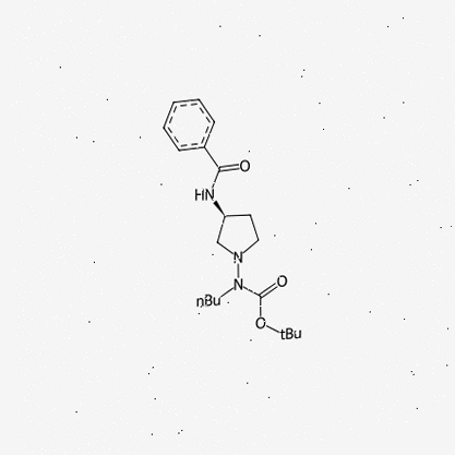 CCCCN(C(=O)OC(C)(C)C)N1CC[C@H](NC(=O)c2ccccc2)C1